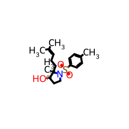 CC(C)=CCC[C@@]1(C)[C@H](O)CCN1S(=O)(=O)c1ccc(C)cc1